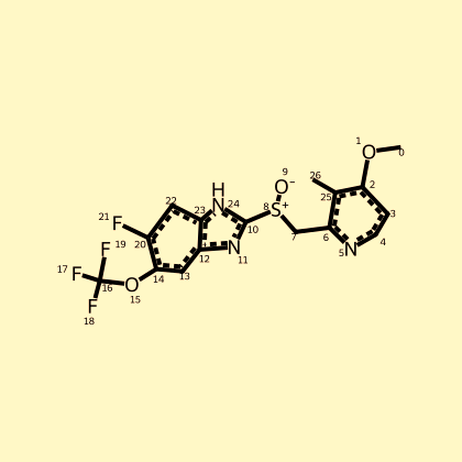 COc1ccnc(C[S+]([O-])c2nc3cc(OC(F)(F)F)c(F)cc3[nH]2)c1C